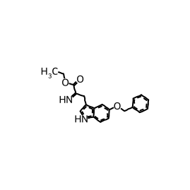 CCOC(=O)C(=N)Cc1c[nH]c2ccc(OCc3ccccc3)cc12